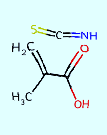 C=C(C)C(=O)O.N=C=S